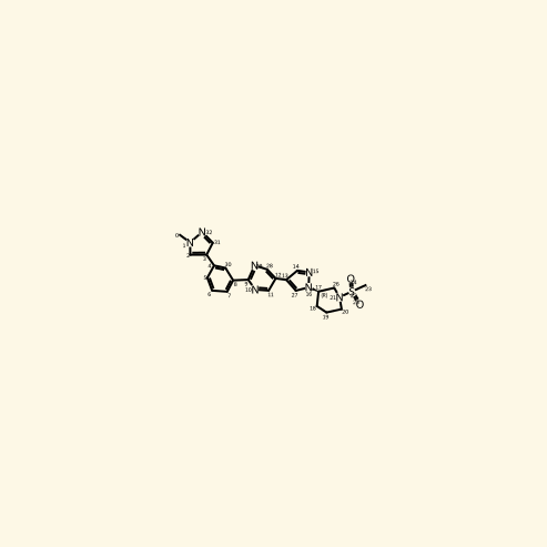 Cn1cc(-c2cccc(-c3ncc(-c4cnn([C@@H]5CCCN(S(C)(=O)=O)C5)c4)cn3)c2)cn1